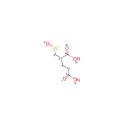 O=[S+]CC(CCC(=O)O)C(=O)O